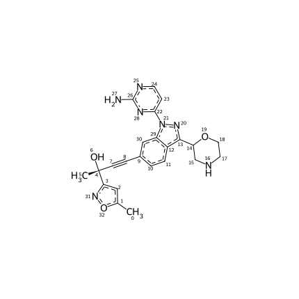 Cc1cc([C@](C)(O)C#Cc2ccc3c(C4CNCCO4)nn(-c4ccnc(N)n4)c3c2)no1